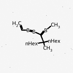 C=C/B=B\C(=B/C)C(C)(CCCCCC)CCCCCC